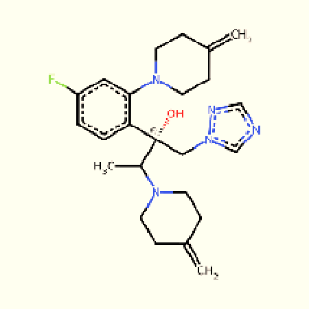 C=C1CCN(c2cc(F)ccc2[C@@](O)(Cn2cncn2)C(C)N2CCC(=C)CC2)CC1